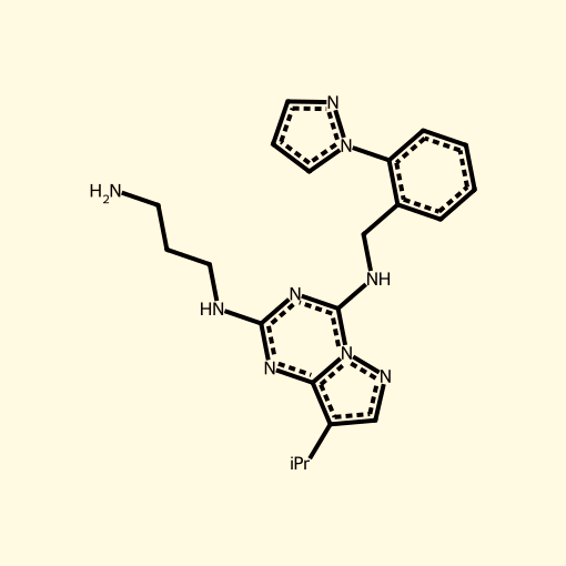 CC(C)c1cnn2c(NCc3ccccc3-n3cccn3)nc(NCCCN)nc12